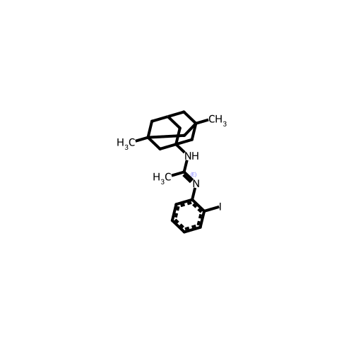 C/C(=N\c1ccccc1I)NC12CC3CC(C)(CC(C)(C3)C1)C2